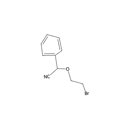 N#CC(OCCBr)c1ccccc1